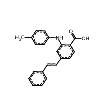 Cc1ccc(Nc2cc(C=Cc3ccccc3)ccc2C(=O)O)cc1